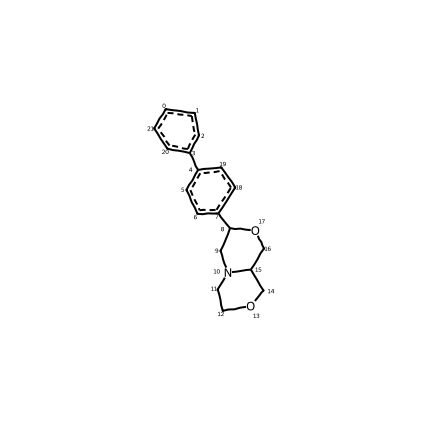 c1ccc(-c2ccc(C3CN4CCOCC4CO3)cc2)cc1